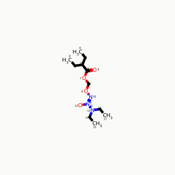 CCC(CC)C(=O)OCO/N=[N+](\[O-])N(CC)CC